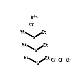 CCSCC.CCSCC.CCSCC.[Cl-].[Cl-].[Cl-].[Cl-].[Ir+4]